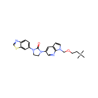 C[Si](C)(C)CCOCn1ccc2cc(N3CCN(c4ccc5ncsc5c4)C3=O)cnc21